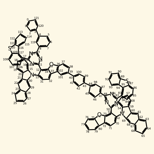 c1ccc(-c2cccc(-c3nc(-c4c(-n5c6ccccc6c6cc7ccccc7cc65)ccc5c4oc4ccc(-c6ccc(-c7ccc(-c8nc(-c9c(-n%10c%11ccccc%11c%11cc%12ccccc%12cc%11%10)ccc%10c9oc9ccccc9%10)nc(-c9cccc%10sc%11ccccc%11c9%10)n8)cc7)cc6)cc45)nc(-c4cccc5sc6ccccc6c45)n3)c2)cc1